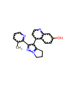 Cc1cccnc1-c1nn2c(c1-c1ccnc3cc(O)ccc13)CCC2